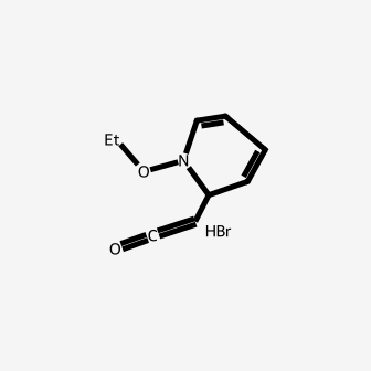 Br.CCON1C=CC=CC1C=C=O